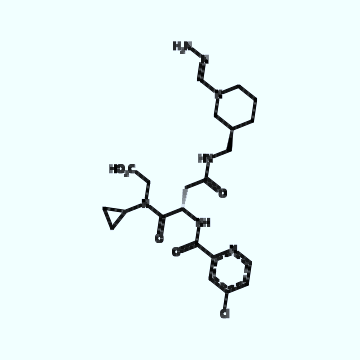 NN=CN1CCC[C@@H](CNC(=O)C[C@H](NC(=O)c2cc(Cl)ccn2)C(=O)N(CC(=O)O)C2CC2)C1